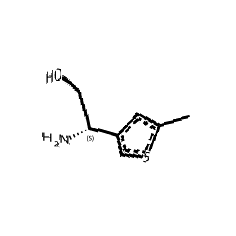 Cc1cc([C@H](N)CO)cs1